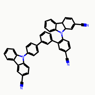 N#CC1=CC2C(C=C1)c1ccccc1N2c1ccc(C#N)cc1-c1cccc(-c2ccc(-n3c4ccccc4c4cc(C#N)ccc43)cc2)c1